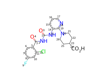 O=C(NC(=O)c1ccc(F)cc1Cl)Nc1cccnc1N1CCC(C(=O)O)CC1